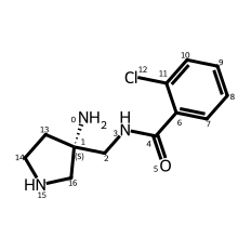 N[C@@]1(CNC(=O)c2ccccc2Cl)CCNC1